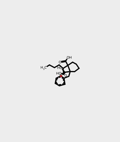 CCCCC(C(=O)O)C1(C(=O)O)CCCCC1(Cc1ccccc1)C(=O)O